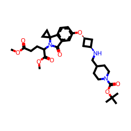 COC(=O)CCC(C(=O)OC)N1C(=O)c2cc(O[C@H]3C[C@H](NCC4CCN(C(=O)OC(C)(C)C)CC4)C3)ccc2C12CC2